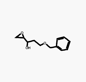 OC(CCOCc1ccccc1)C1CO1